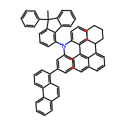 CC1(c2ccccc2)c2ccccc2-c2c(N(c3cccc(-c4cccc5c4ccc4ccccc45)c3)c3ccccc3-c3cccc4cccc(C5CCCCC5)c34)cccc21